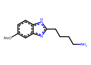 COc1ccc2[nH]c(CCCCN)nc2c1